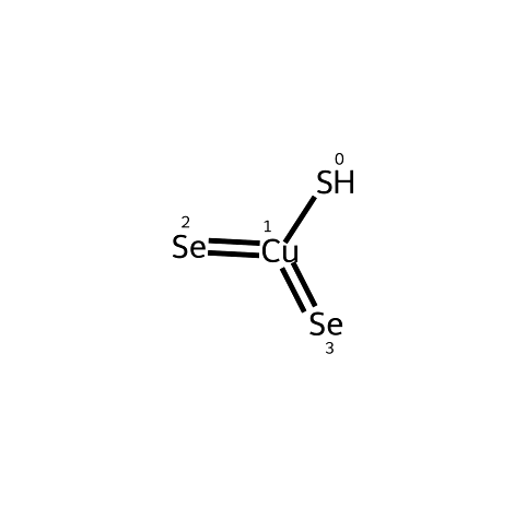 [SH][Cu](=[Se])=[Se]